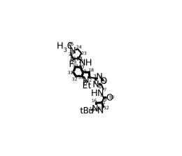 CCn1c(-c2noc(CNC(=O)c3cnn(C(C)(C)C)c3)n2)cc2c(N[C@@H]3CCN(C)C[C@@H]3F)cccc21